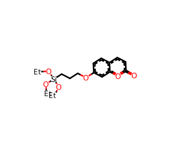 CCO[Si](CCCOc1ccc2ccc(=O)oc2c1)(OCC)OCC